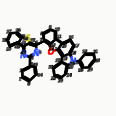 c1ccc(-c2nc(-c3cccc4c3oc3c4ccc4c3c3ccccc3n4-c3ccccc3)c3sc4ccccc4c3n2)cc1